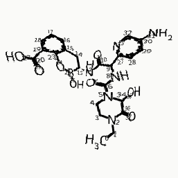 CCN1CCN(C(=O)NC(C(=O)N[C@H]2Cc3cccc(C(=O)O)c3OB2O)c2ccc(N)cn2)C(O)C1=O